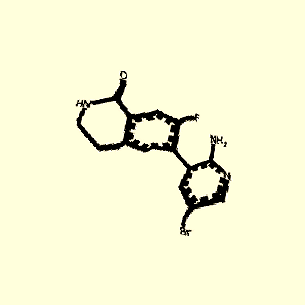 Nc1ncc(Br)cc1-c1cc2c(cc1F)C(=O)NCC2